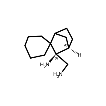 NC[C@@]1(N)[C@@H]2CCC(C2)C12CCCCC2